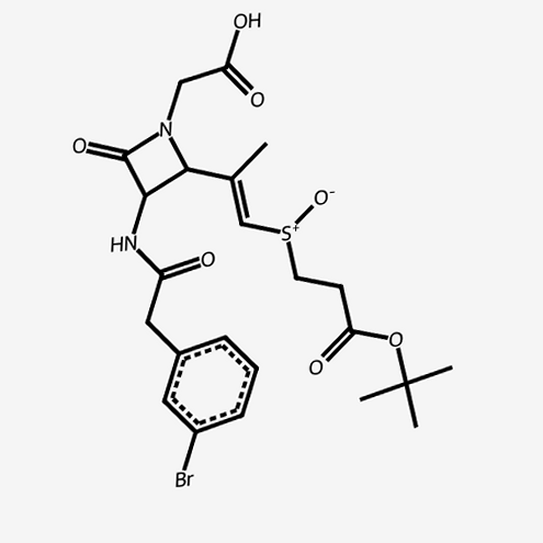 CC(=C[S+]([O-])CCC(=O)OC(C)(C)C)C1C(NC(=O)Cc2cccc(Br)c2)C(=O)N1CC(=O)O